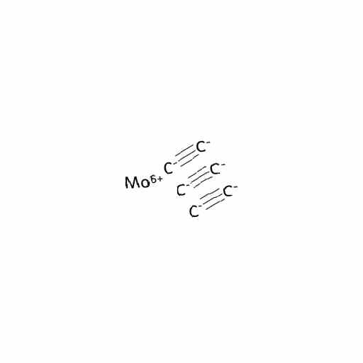 [C-]#[C-].[C-]#[C-].[C-]#[C-].[Mo+6]